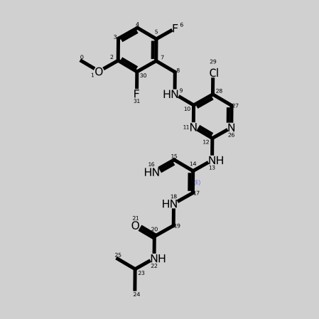 COc1ccc(F)c(CNc2nc(N/C(C=N)=C/NCC(=O)NC(C)C)ncc2Cl)c1F